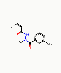 C/C=C\C(=O)NN(C(=O)c1cccc(C)c1)C(C)(C)C